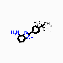 CC(C)(C)c1ccc(-c2nc3c(N)cccc3[nH]2)cc1